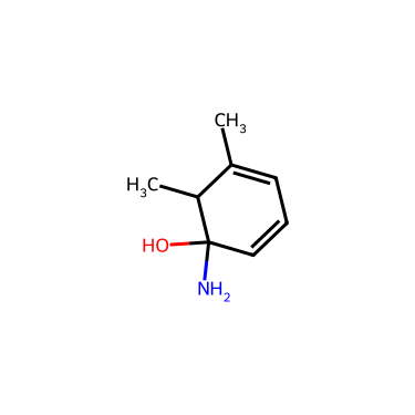 CC1=CC=CC(N)(O)C1C